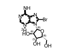 [2H]n1cnc(=N)c2nc(Br)n([C@@H]3O[C@H](CO)[C@@H](O)[C@H]3O)c21